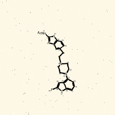 CC(=O)Nc1nc2cc(CCN3CCN(c4cccc5sc(F)cc45)CC3)ccc2s1